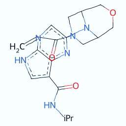 C=CC(=O)N1CC2COCC(C1)N2c1cnc2[nH]cc(C(=O)NC(C)C)c2n1